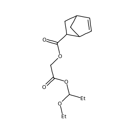 CCOC(CC)OC(=O)COC(=O)C1CC2C=CC1C2